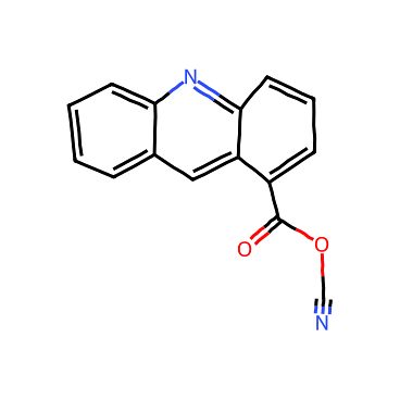 N#COC(=O)c1cccc2nc3ccccc3cc12